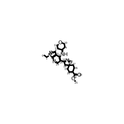 CCn1ncc2c(NC3CCOCC3)c(C3=NOC4(CCC(C(=O)OC)CC4)C3)cnc21